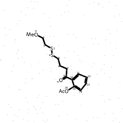 COCCSSCCCC(=O)c1ccccc1OC(C)=O